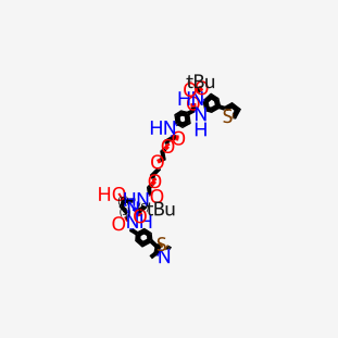 Cc1ncsc1-c1ccc(CNC(=O)[C@@H]2C[C@@H](O)CN2C(=O)[C@@H](NC(=O)COCCOCCOCC(=O)Nc2ccc(C(=O)Nc3cc(-c4cccs4)ccc3NC(=O)OC(C)(C)C)cc2)C(C)(C)C)cc1